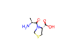 C[C@H](N)C(=O)N1CSC[C@H]1C(=O)O